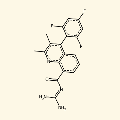 Cc1nc2c(C(=O)N=C(N)N)cccc2c(-c2c(F)cc(F)cc2F)c1C